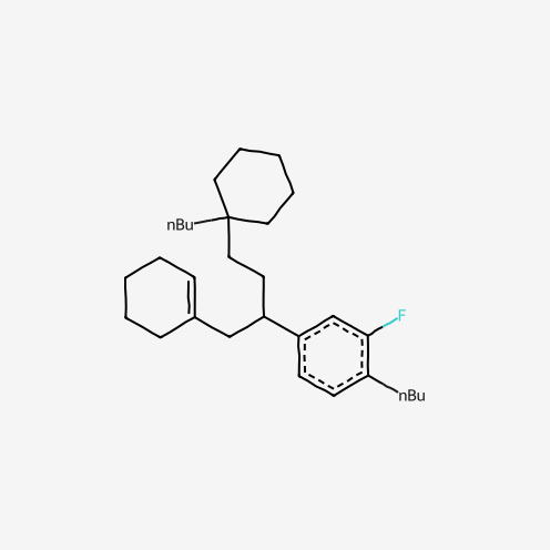 CCCCc1ccc(C(CCC2(CCCC)CCCCC2)CC2=CCCCC2)cc1F